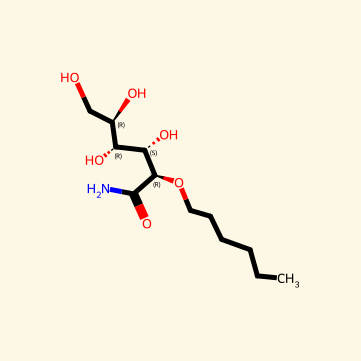 CCCCCCO[C@@H](C(N)=O)[C@@H](O)[C@H](O)[C@H](O)CO